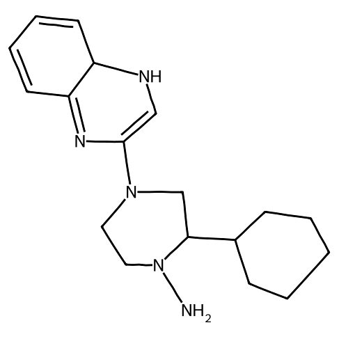 NN1CCN(C2=CNC3C=CC=CC3=N2)CC1C1CCCCC1